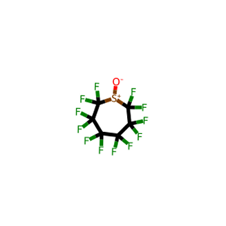 [O-][S+]1C(F)(F)C(F)(F)C(F)(F)C(F)(F)C(F)(F)C1(F)F